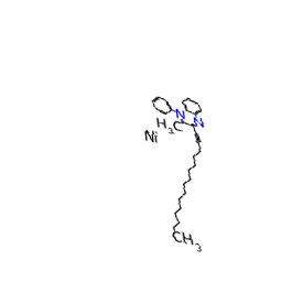 CCCCCCCCCCCCCC#CC(=Nc1ccccc1)C(C)=Nc1ccccc1.[Ni]